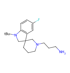 CC(C)(C)N1CC2(CCCN(CCCN)C2)c2cc(F)ccc21